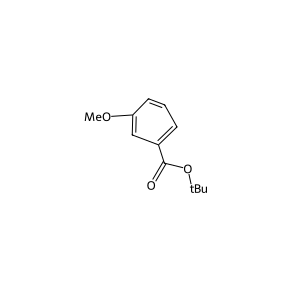 COc1cccc(C(=O)OC(C)(C)C)c1